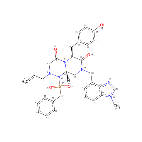 C=CCN1CC(=O)N2[C@@H](Cc3ccc(O)cc3)C(=O)N(Cc3cccc4c3ncn4C)C[C@@H]2N1S(=O)(=O)Cc1ccccc1